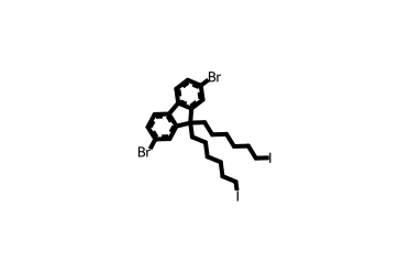 Brc1ccc2c(c1)C(CCCCCCI)(CCCCCCI)c1cc(Br)ccc1-2